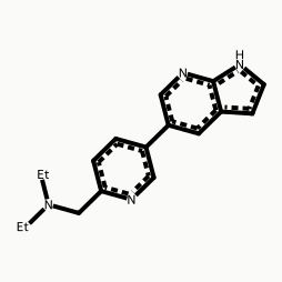 CCN(CC)Cc1ccc(-c2cnc3[nH]ccc3c2)cn1